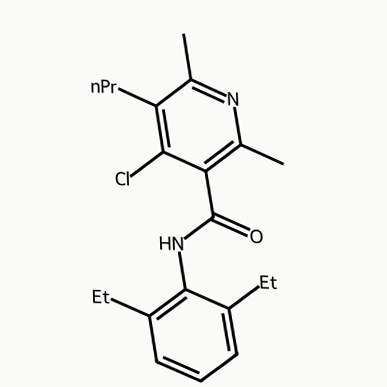 CCCc1c(C)nc(C)c(C(=O)Nc2c(CC)cccc2CC)c1Cl